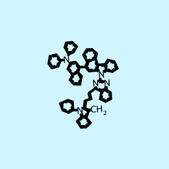 C=c1/c(=C\C=C\c2nc(-n3c4ccccc4c4c5ccccc5c(-c5cc(N(c6ccccc6)c6ccccc6)cc6ccccc56)cc43)nc3ccccc23)n(-c2ccccc2)c2ccccc12